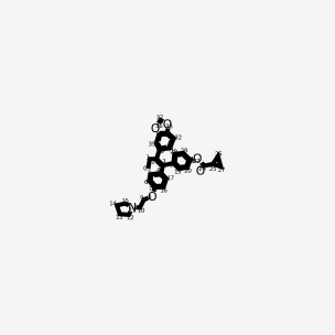 CCC(=C(c1ccc(OCCN2CCCC2)cc1)c1ccc(OC(=O)C2CC2)cc1)c1ccc2c(c1)OCO2